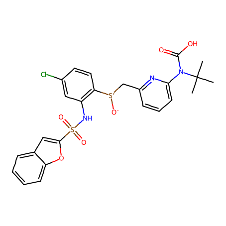 CC(C)(C)N(C(=O)O)c1cccc(C[S+]([O-])c2ccc(Cl)cc2NS(=O)(=O)c2cc3ccccc3o2)n1